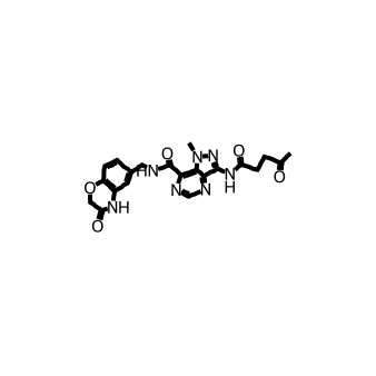 CC(=O)CCC(=O)Nc1nn(C)c2c(C(=O)NCc3ccc4c(c3)NC(=O)CO4)ncnc12